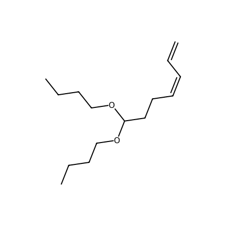 C=C/C=C\CCC(OCCCC)OCCCC